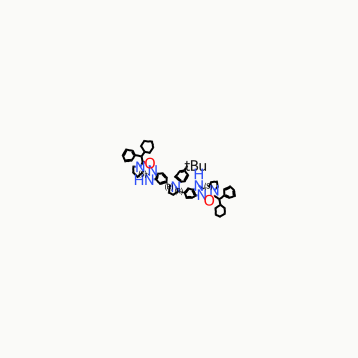 CC(C)(C)c1ccc(N2[C@@H](c3ccc4nc([C@@H]5CCCN5C(=O)C(c5ccccc5)C5CCCCC5)[nH]c4c3)CC[C@@H]2c2ccc3nc([C@@H]4CCCN4C(=O)C(c4ccccc4)C4CCCCC4)[nH]c3c2)cc1